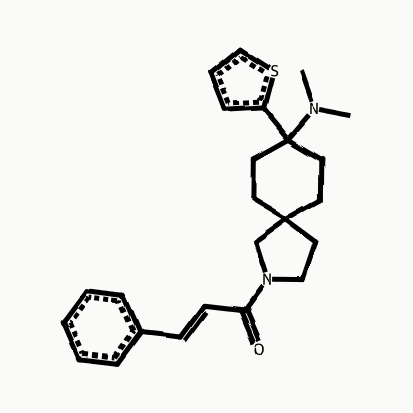 CN(C)C1(c2cccs2)CCC2(CCN(C(=O)C=Cc3ccccc3)C2)CC1